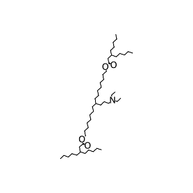 CCCCCC(CCCCC)CC(=O)OCCCCCCCCC(CCCCCCCCOC(=O)CC(CCCCC)CCCCC)CCCN(CC)CC